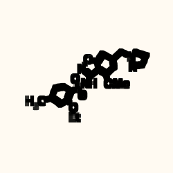 CCOc1cc(C)ccc1S(=O)(=O)Nc1noc2cc(Cn3cccn3)cc(OC)c12